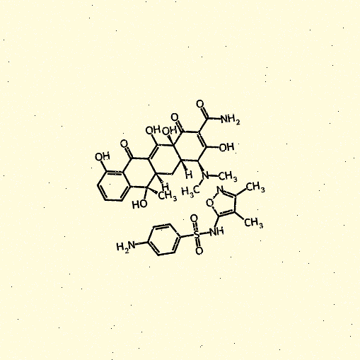 CN(C)[C@@H]1C(O)=C(C(N)=O)C(=O)[C@@]2(O)C(O)=C3C(=O)c4c(O)cccc4[C@@](C)(O)[C@H]3C[C@@H]12.Cc1noc(NS(=O)(=O)c2ccc(N)cc2)c1C